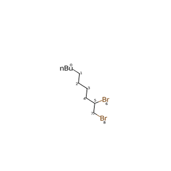 CCCCCCCCC(Br)[CH]Br